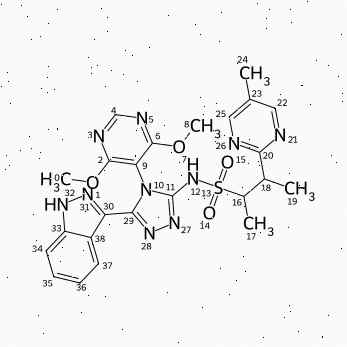 COc1ncnc(OC)c1-n1c(NS(=O)(=O)C(C)C(C)c2ncc(C)cn2)nnc1-c1n[nH]c2ccccc12